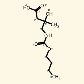 CCCCOC(=O)NCC(C)(O)CC(=O)O